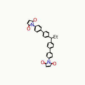 CCC(c1ccc(-c2ccc(N3C(=O)C=CC3=O)cc2)cc1)c1ccc(-c2ccc(N3C(=O)C=CC3=O)cc2)cc1